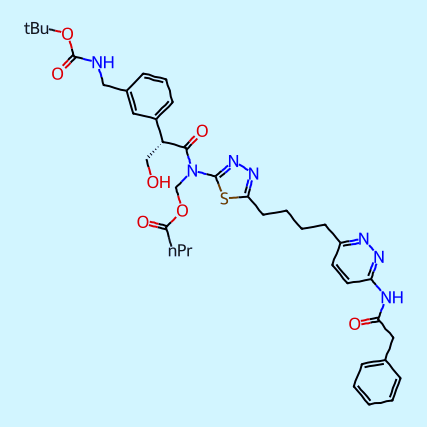 CCCC(=O)OCN(C(=O)[C@H](CO)c1cccc(CNC(=O)OC(C)(C)C)c1)c1nnc(CCCCc2ccc(NC(=O)Cc3ccccc3)nn2)s1